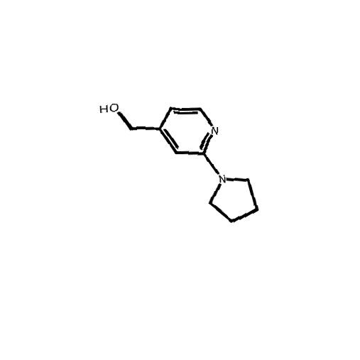 OCc1ccnc(N2CCCC2)c1